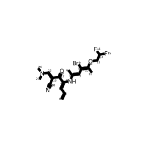 C=C/C=C(\N/C(C)=C/C(Br)=C(\C)OCC(F)F)C(=O)/C(C#N)=C/N(C)C